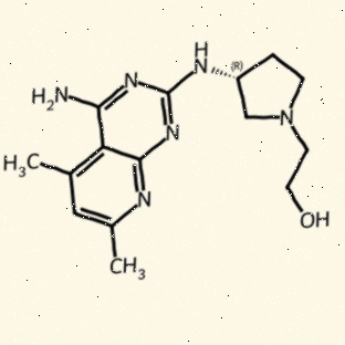 Cc1cc(C)c2c(N)nc(N[C@@H]3CCN(CCO)C3)nc2n1